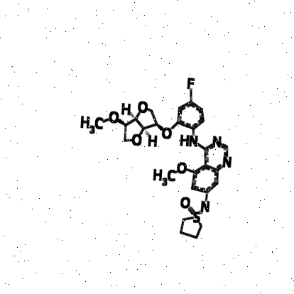 COc1cc(N=S2(=O)CCCC2)cc2ncnc(Nc3ccc(F)cc3O[C@@H]3CO[C@H]4[C@@H]3OC[C@H]4OC)c12